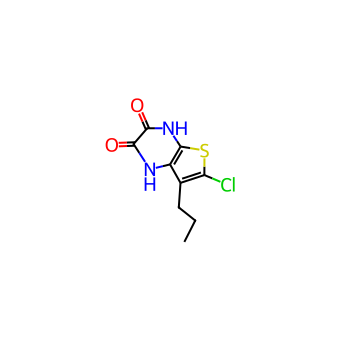 CCCc1c(Cl)sc2[nH]c(=O)c(=O)[nH]c12